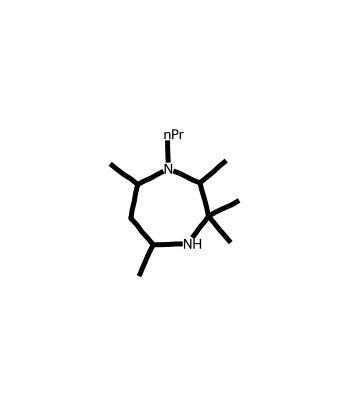 CCCN1C(C)CC(C)NC(C)(C)C1C